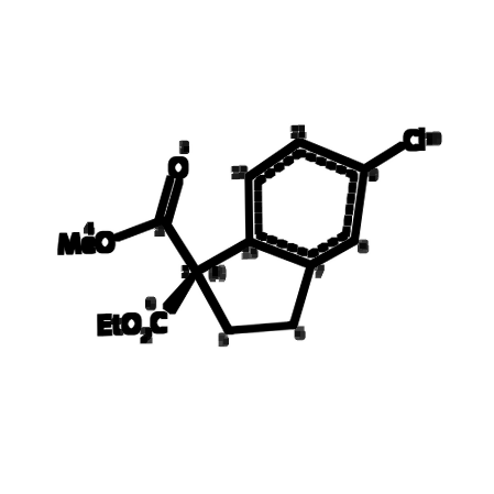 CCOC(=O)[C@]1(C(=O)OC)CCc2cc(Cl)ccc21